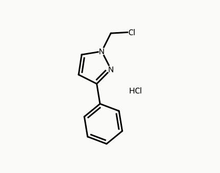 Cl.ClCn1ccc(-c2ccccc2)n1